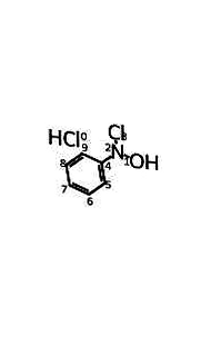 Cl.ON(Cl)c1ccccc1